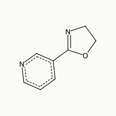 c1cncc(C2=NCCO2)c1